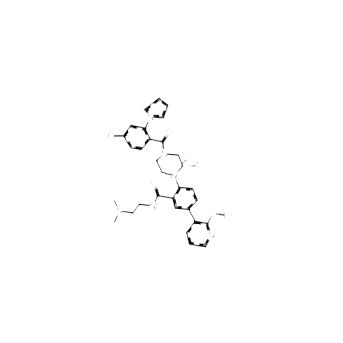 CCOc1ncccc1-c1ccc(N2CCN(C(=O)c3ccc(F)cc3-n3cccc3)C[C@H]2CC)c(C(=O)NCCN(C)C)c1